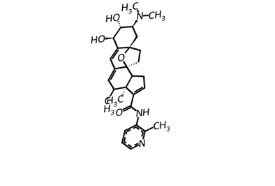 Cc1ncccc1NC(=O)C1=CCC2[C@]1(C)C(C)C=C1C=C3[C@@H](O)[C@H](O)[C@@H](N(C)C)C[C@]34CC[C@@]12O4